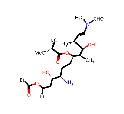 CCC(=O)O[C@H](CC)C[C@H](O)[C@@H](N)CC[C@@H](OC(=O)[C@@H](C)OC)[C@H](C)[C@H](O)[C@H](C)/C=C/N(C)C=O